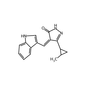 CC1CC1C1=NNC(=O)/C1=C\c1c[nH]c2ccccc12